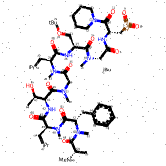 CC[C@H](C)[C@@H](C(=O)N[C@@H](C[SH](=O)=O)C(=O)N1CCCCC1)N(C)C(=O)[C@H](COC(C)(C)C)NC(=O)[C@H](CC(C)C)N(C)C(=O)CN(C)C(=O)[C@@H](NC(=O)[C@H](CC(C)C)N(C)C(=O)[C@H](Cc1ccccc1)N(C)C(=O)[C@H](C)NC)[C@@H](C)O